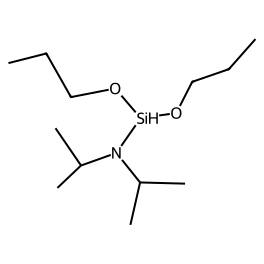 CCCO[SiH](OCCC)N(C(C)C)C(C)C